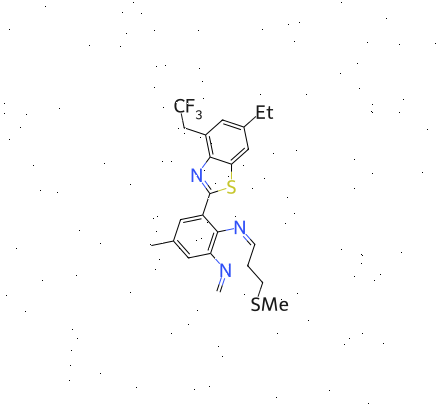 C=Nc1cc(C)cc(-c2nc3c(CC(F)(F)F)cc(CC)cc3s2)c1/N=C\CCSC